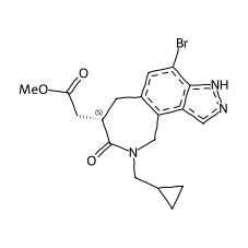 COC(=O)C[C@@H]1Cc2cc(Br)c3[nH]ncc3c2CN(CC2CC2)C1=O